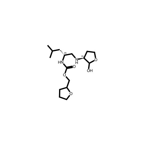 CC(C)C[C@H](CN[C@H]1CCOC1O)NC(=O)OCC1CCCO1